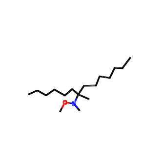 CCCCCCCC(C)(CCCCCC)N(C)OC